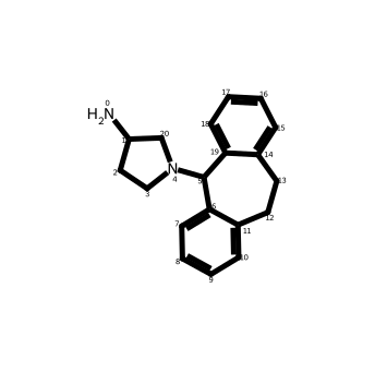 NC1CCN(C2c3ccccc3CCc3ccccc32)C1